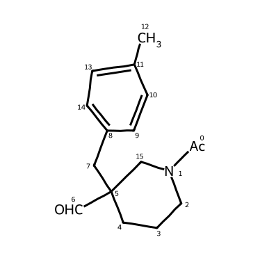 CC(=O)N1CCCC(C=O)(Cc2ccc(C)cc2)C1